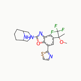 COC(C)(c1cc(-c2nccs2)c2oc(N3CC4CCCC(C3)N4)nc2c1)C(F)(F)F